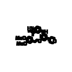 COc1ccc(CCOc2cc(N3CCOCC3)cc(Nc3ccc4[nH]c(C)c(C)c4c3)n2)cc1OC